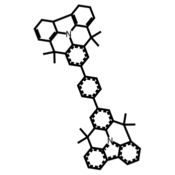 CC1(C)C2=CCCC3=C2N2C4=C(C=CCC34)C(C)(C)c3cc(-c4ccc(-c5cc6c7c(c5)C(C)(C)c5cccc8c9cccc(c9n-7c58)C6(C)C)cc4)cc1c32